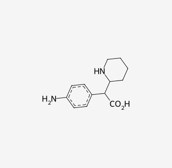 Nc1ccc(C(C(=O)O)C2CCCCN2)cc1